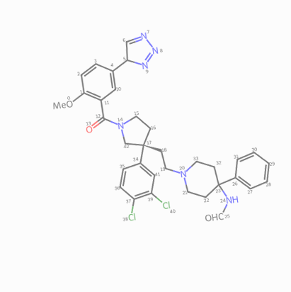 COc1ccc(C2C=NN=N2)cc1C(=O)N1CC[C@](CCN2CCC(NC=O)(c3ccccc3)CC2)(c2ccc(Cl)c(Cl)c2)C1